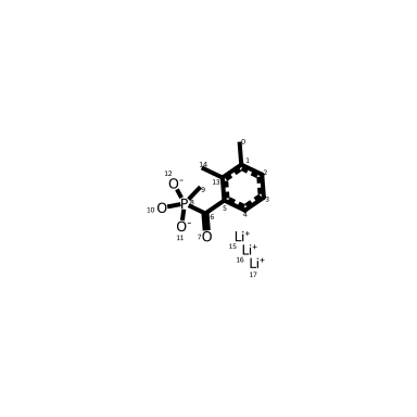 Cc1cccc(C(=O)P(C)([O-])([O-])[O-])c1C.[Li+].[Li+].[Li+]